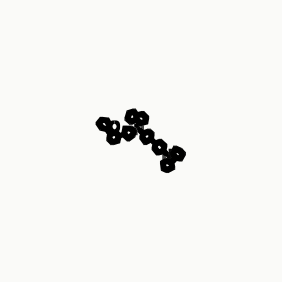 c1ccc2c(N(c3ccc(-c4ccc(-n5c6ccccc6c6ccccc65)cc4)cc3)c3ccc(-c4cccc5c4oc4ccccc45)cc3)cccc2c1